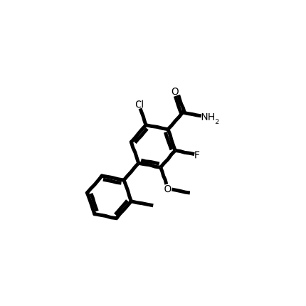 COc1c(-c2ccccc2C)cc(Cl)c(C(N)=O)c1F